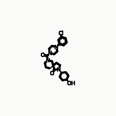 O=C(N1CCN(c2cccc(Cl)c2)CC1)N1CCC[C@@]2(CCN([C@H]3CC[C@H](O)CC3)C2=O)C1